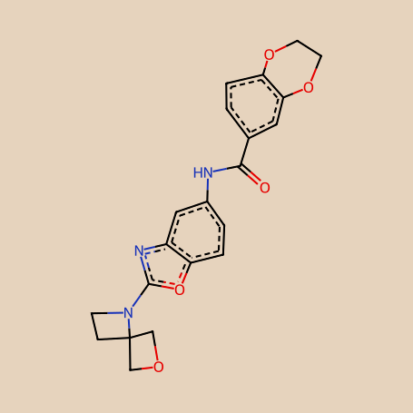 O=C(Nc1ccc2oc(N3CCC34COC4)nc2c1)c1ccc2c(c1)OCCO2